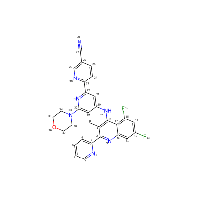 Cc1c(-c2ccccn2)nc2cc(F)cc(F)c2c1Nc1cc(-c2ccc(C#N)cn2)nc(N2CCOCC2)c1